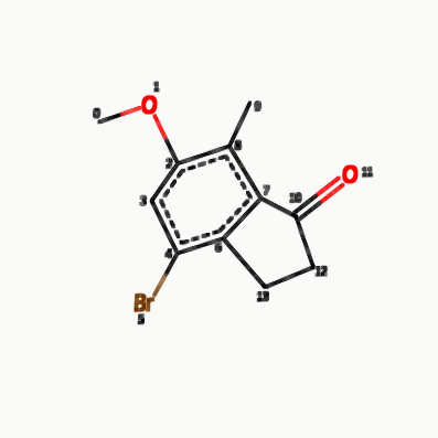 COc1cc(Br)c2c(c1C)C(=O)CC2